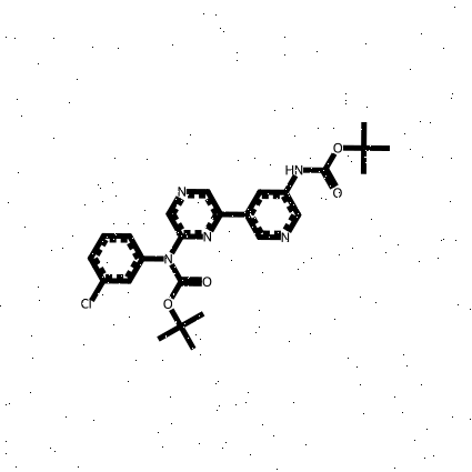 CC(C)(C)OC(=O)Nc1cncc(-c2cncc(N(C(=O)OC(C)(C)C)c3cccc(Cl)c3)n2)c1